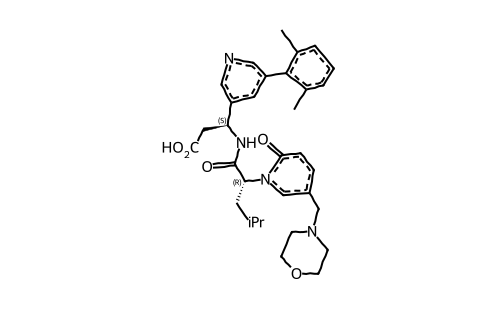 Cc1cccc(C)c1-c1cncc([C@H](CC(=O)O)NC(=O)[C@@H](CC(C)C)n2cc(CN3CCOCC3)ccc2=O)c1